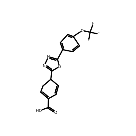 O=C(O)C1=CCC(c2nnc(-c3ccc(OC(F)(F)F)cc3)o2)C=C1